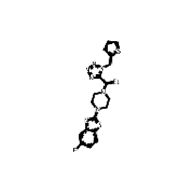 CCC(c1nnnn1Cc1cccs1)N1CCN(c2nc3cc(F)ccc3s2)CC1